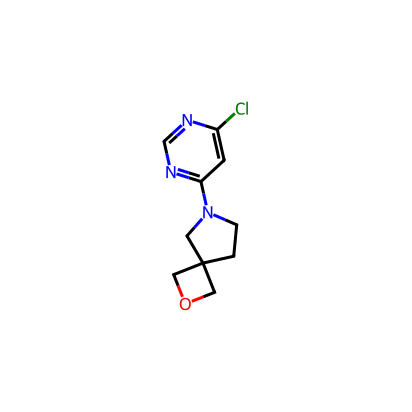 Clc1cc(N2CCC3(COC3)C2)ncn1